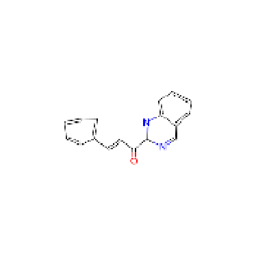 O=C(C=Cc1ccccc1)c1ncc2ccccc2n1